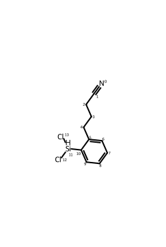 N#CCCCc1ccccc1[SiH](Cl)Cl